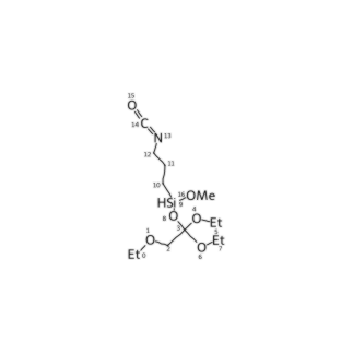 CCOCC(OCC)(OCC)O[SiH](CCCN=C=O)OC